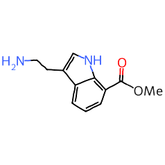 COC(=O)c1cccc2c(CCN)c[nH]c12